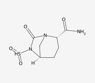 NC(=O)[C@@H]1CC[C@@H]2CN1C(=O)N2[SH](=O)=O